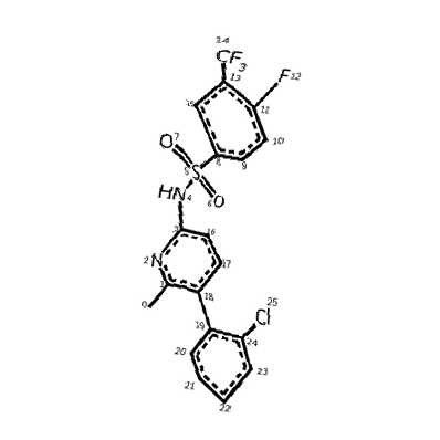 Cc1nc(NS(=O)(=O)c2ccc(F)c(C(F)(F)F)c2)ccc1-c1ccccc1Cl